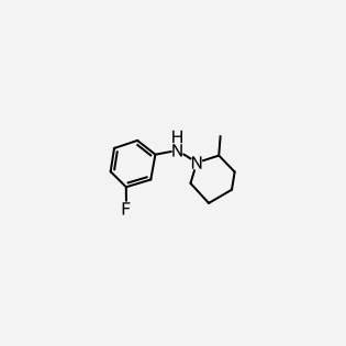 CC1CCCCN1Nc1cccc(F)c1